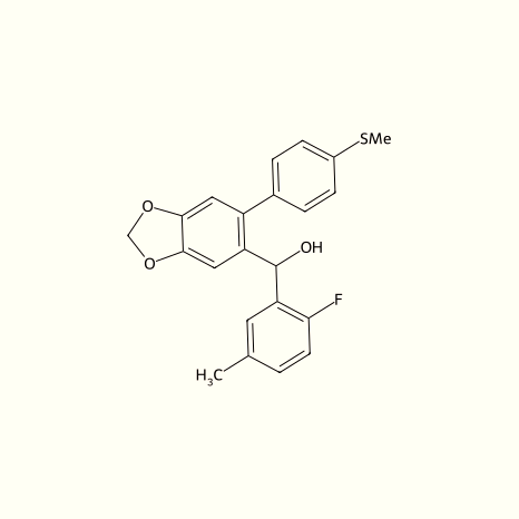 CSc1ccc(-c2cc3c(cc2C(O)c2cc(C)ccc2F)OCO3)cc1